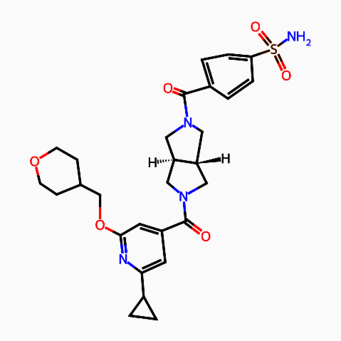 NS(=O)(=O)c1ccc(C(=O)N2C[C@@H]3CN(C(=O)c4cc(OCC5CCOCC5)nc(C5CC5)c4)C[C@H]3C2)cc1